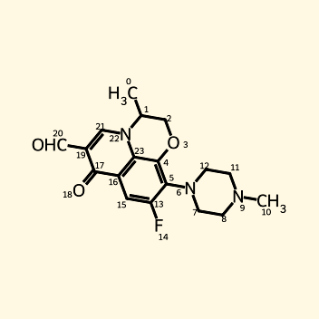 CC1COc2c(N3CCN(C)CC3)c(F)cc3c(=O)c(C=O)cn1c23